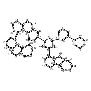 c1ccc(-c2cccc(-c3nc(-c4cc5ccc6cccc7c8cccc9ccc%10cccc(c(c4)c5c67)c%10c98)nc(-c4cccc5c4sc4ccccc45)n3)c2)cc1